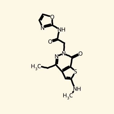 CCc1nn(CC(=O)Nc2ncco2)c(=O)c2sc(NC)cc12